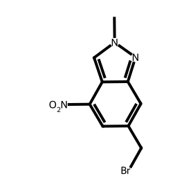 Cn1cc2c([N+](=O)[O-])cc(CBr)cc2n1